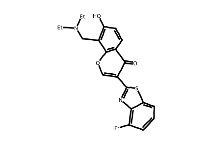 CCN(CC)Cc1c(O)ccc2c(=O)c(-c3nc4c(C(C)C)cccc4s3)coc12